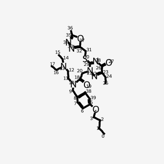 CCCCOc1ccc(CN(CCN(CC)CC)C(=O)Cn2nc(CC)c(=O)nc2SCc2nnc(C)o2)cc1